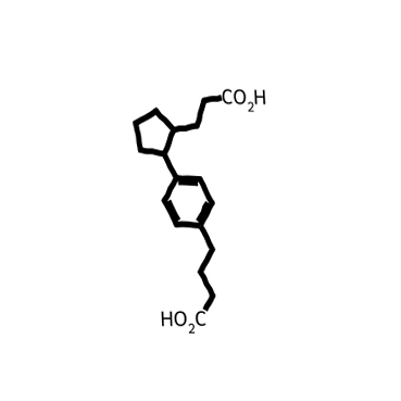 O=C(O)CCCc1ccc(C2CCCC2CCC(=O)O)cc1